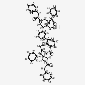 O=C(Cc1ccccn1)N1C[C@@H](c2cccc(-c3cc(C(=O)N4C(CO)[C@@H](c5ccccc5)C45CN(C(=O)Cc4ccccn4)C5)ccn3)c2)[C@H](CO)N(C(=O)c2ccncc2)C1